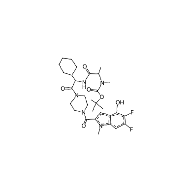 CC(C(=O)NC(C(=O)N1CCN(C(=O)c2cc3c(O)c(F)c(F)cc3n2C)CC1)C1CCCCC1)N(C)C(=O)OC(C)(C)C